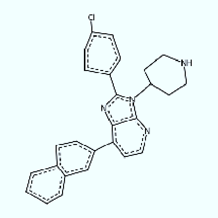 Clc1ccc(-c2nc3c(-c4ccc5ccccc5c4)ccnc3n2C2CCNCC2)cc1